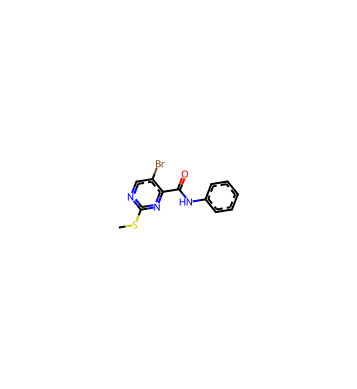 CSc1ncc(Br)c(C(=O)Nc2ccccc2)n1